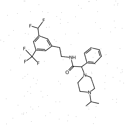 CC(C)N1CCN(C(C(=O)NCCc2cc(C(F)F)cc(C(F)(F)F)c2)c2ccccc2)CC1